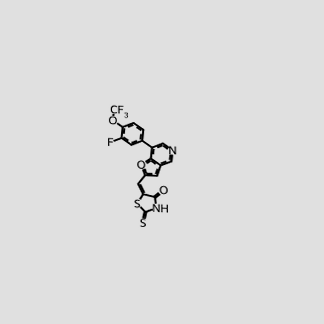 O=C1NC(=S)S/C1=C/c1cc2cncc(-c3ccc(OC(F)(F)F)c(F)c3)c2o1